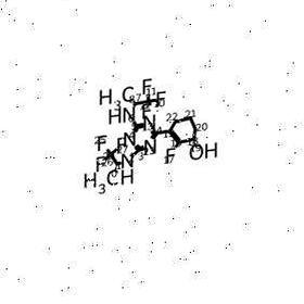 C[C@@H](Nc1nc(N[C@H](C)C(F)(F)F)nc(C2=C(F)[C@@H](O)CCC2)n1)C(F)(F)F